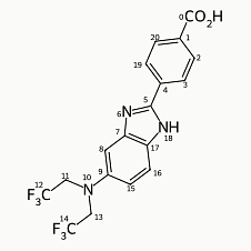 O=C(O)c1ccc(-c2nc3cc(N(CC(F)(F)F)CC(F)(F)F)ccc3[nH]2)cc1